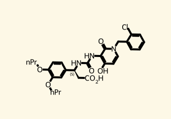 CCCOc1ccc([C@H](CC(=O)O)NC(=O)Nc2c(O)ccn(Cc3ccccc3Cl)c2=O)cc1OCCC